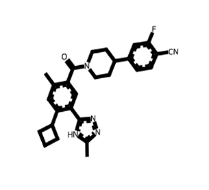 Cc1nnc(-c2cc(C(=O)N3CCC(c4ccc(C#N)c(F)c4)CC3)c(C)cc2C2CCC2)[nH]1